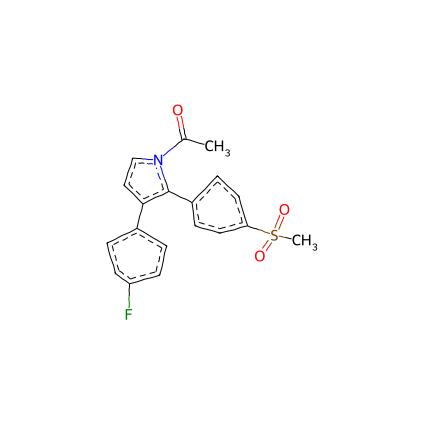 CC(=O)n1ccc(-c2ccc(F)cc2)c1-c1ccc(S(C)(=O)=O)cc1